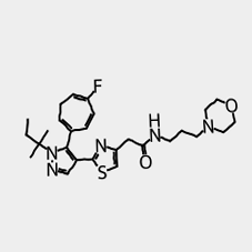 CCC(C)(C)n1ncc(-c2nc(CC(=O)NCCCN3CCOCC3)cs2)c1C1=CCC=C(F)C=C1